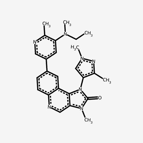 CCN(C)c1cc(-c2ccc3ncc4c(c3c2)n(-c2cn(C)nc2C)c(=O)n4C)cnc1C